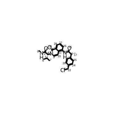 CNC(=O)[C@@H](C(C)C)n1ccc2c(NC(=O)[C@H](C)c3ccc(CCl)cc3)cccc2c1=O